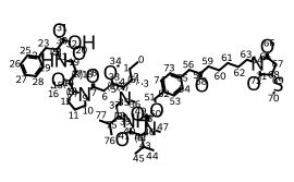 CC[C@H](C)[C@@H]([C@@H](CC(=O)N1CCC[C@H]1[C@H](OC)[C@@H](C)C(=O)N[C@@H](Cc1ccccc1)C(=O)O)OC)N(C)C[C@@H](NC(=O)[C@H](C(C)C)N(C)C(=O)OCc1ccc(CC(=O)CCCCCN2C(=O)CC(SC)C2=O)cc1)C(C)C